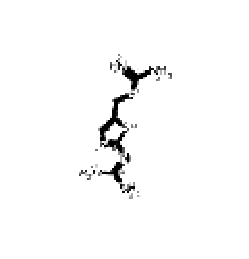 N=C(N)SCc1cnc(N=C(N)N)s1